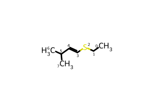 CCSC=CC(C)C